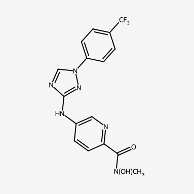 CN(O)C(=O)c1ccc(Nc2ncn(-c3ccc(C(F)(F)F)cc3)n2)cn1